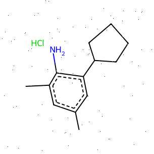 Cc1cc(C)c(N)c(C2CCCC2)c1.Cl